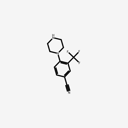 N#Cc1ccc(N2CCNCC2)c(C(F)(F)F)c1